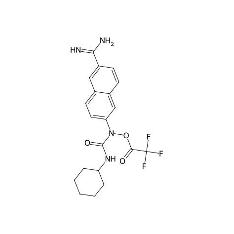 N=C(N)c1ccc2cc(N(OC(=O)C(F)(F)F)C(=O)NC3CCCCC3)ccc2c1